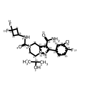 CC(C)(O)[C@@H]1CN(C(=O)NC2CC(F)(F)C2)Cc2c(C(N)=O)c(-c3ccc(F)c(Cl)c3)nn21